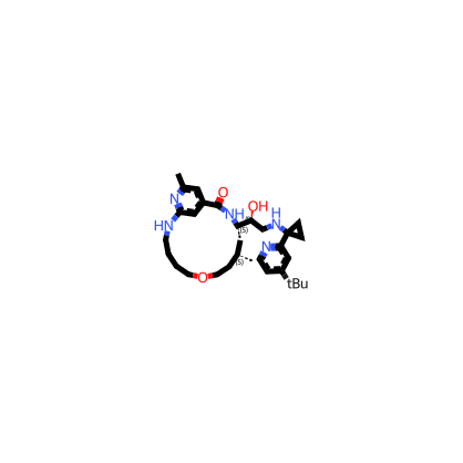 Cc1cc2cc(n1)NCCCCOCC[C@@H](C)C[C@@H]([C@H](O)CNC1(c3cc(C(C)(C)C)ccn3)CC1)NC2=O